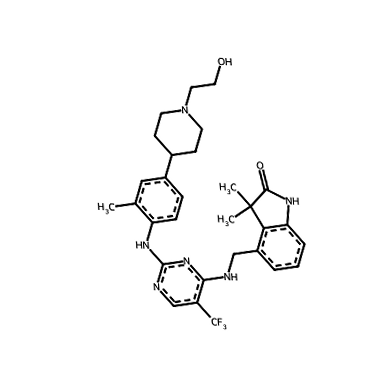 Cc1cc(C2CCN(CCO)CC2)ccc1Nc1ncc(C(F)(F)F)c(NCc2cccc3c2C(C)(C)C(=O)N3)n1